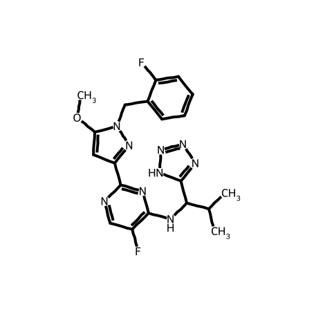 COc1cc(-c2ncc(F)c(NC(c3nnn[nH]3)C(C)C)n2)nn1Cc1ccccc1F